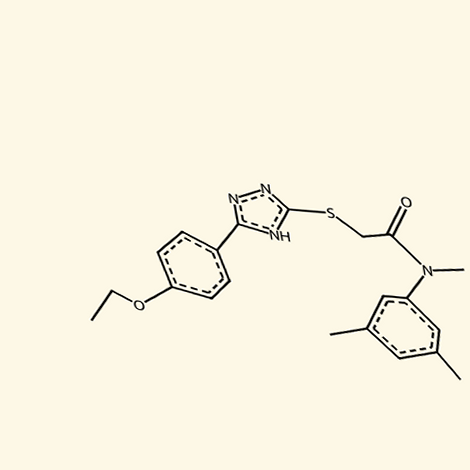 CCOc1ccc(-c2nnc(SCC(=O)N(C)c3cc(C)cc(C)c3)[nH]2)cc1